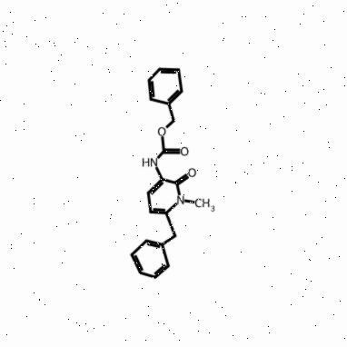 Cn1c(Cc2ccccc2)ccc(NC(=O)OCc2ccccc2)c1=O